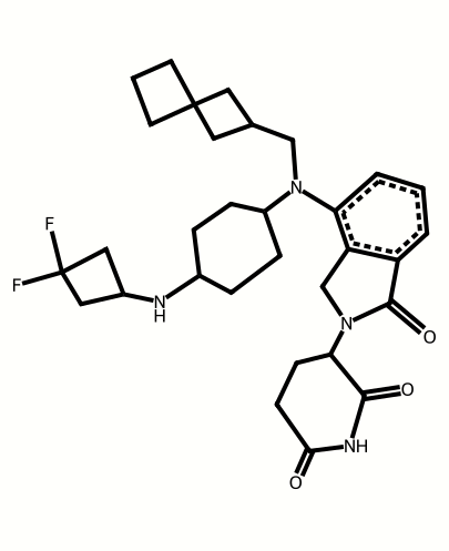 O=C1CCC(N2Cc3c(cccc3N(CC3CC4(CCC4)C3)C3CCC(NC4CC(F)(F)C4)CC3)C2=O)C(=O)N1